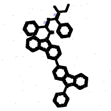 CC/C(C)=C(/N=C(\Nn1c2ccccc2c2cc(-c3ccc4c(c3)c3ccccc3n4-c3ccccc3)ccc21)c1ccccc1)c1ccccc1